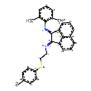 Cc1cccc(C)c1/N=C1/C(=N/CCSc2ccc(C(C)C)cc2)c2cccc3cccc1c23